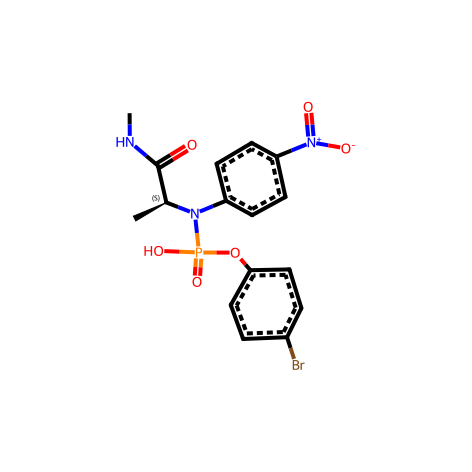 CNC(=O)[C@H](C)N(c1ccc([N+](=O)[O-])cc1)P(=O)(O)Oc1ccc(Br)cc1